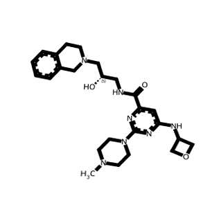 CN1CCN(c2nc(NC3COC3)cc(C(=O)NC[C@H](O)CN3CCc4ccccc4C3)n2)CC1